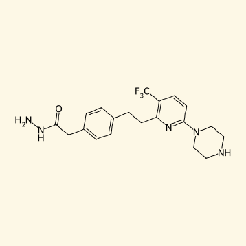 NNC(=O)Cc1ccc(CCc2nc(N3CCNCC3)ccc2C(F)(F)F)cc1